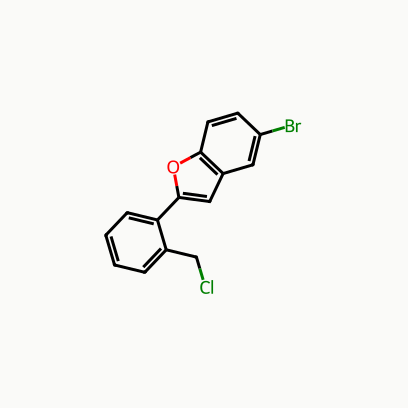 ClCc1ccccc1-c1cc2cc(Br)ccc2o1